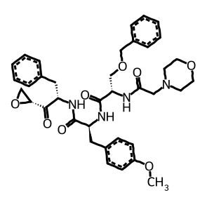 COc1ccc(C[C@H](NC(=O)[C@H](COCc2ccccc2)NC(=O)CN2CCOCC2)C(=O)N[C@@H](Cc2ccccc2)C(=O)[C@H]2CO2)cc1